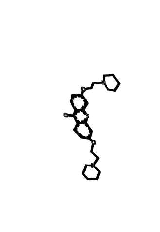 O=c1c2ccc(OCCN3CCCCC3)cc2sc2cc(OCCN3CCCCC3)ccc12